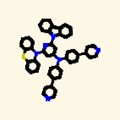 c1ccc2c(c1)Sc1ccccc1N2c1cc(N(c2ccc(-c3ccncc3)cc2)c2ccc(-c3ccncc3)cc2)cc(-n2c3ccccc3c3ccccc32)n1